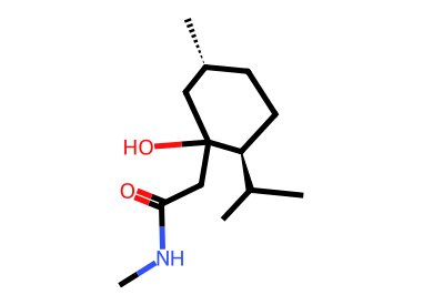 CNC(=O)CC1(O)C[C@H](C)CC[C@H]1C(C)C